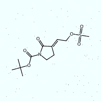 CC(C)(C)OC(=O)N1CC/C(=C\COS(C)(=O)=O)C1=O